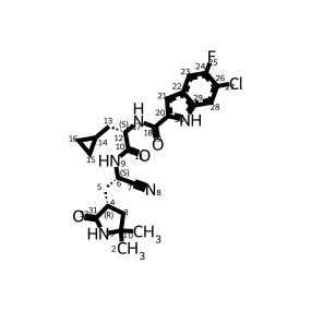 CC1(C)C[C@@H](C[C@@H](C#N)NC(=O)[C@H](CC2CC2)NC(=O)c2cc3cc(F)c(Cl)cc3[nH]2)C(=O)N1